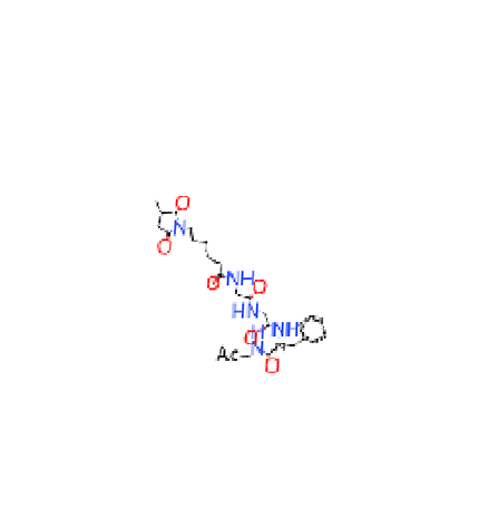 CC(=O)CNC(=O)[C@H](Cc1ccccc1)NC(=O)CNC(=O)CNC(=O)CCCCCN1C(=O)CC(C)C1=O